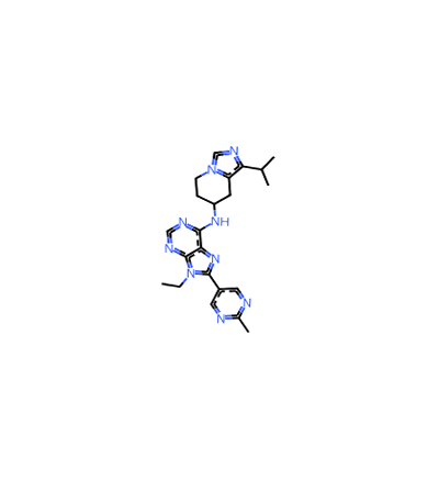 CCn1c(-c2cnc(C)nc2)nc2c(NC3CCn4cnc(C(C)C)c4C3)ncnc21